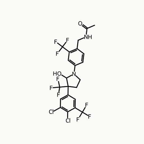 CC(=O)NCc1ccc(N2CCC(c3cc(Cl)c(Cl)c(C(F)(F)F)c3)(C(F)(F)F)C2O)cc1C(F)(F)F